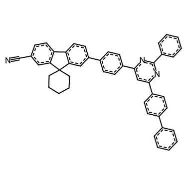 N#Cc1ccc2c(c1)C1(CCCCC1)c1cc(-c3ccc(-c4cc(-c5ccc(-c6ccccc6)cc5)nc(-c5ccccc5)n4)cc3)ccc1-2